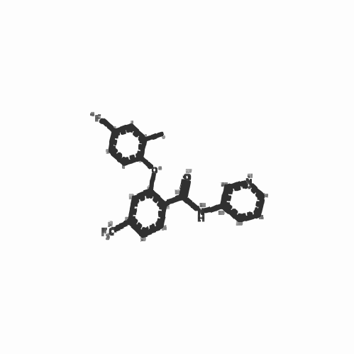 Cc1cc(F)ccc1Oc1cc(C(F)(F)F)ccc1C(=O)Nc1cccnc1